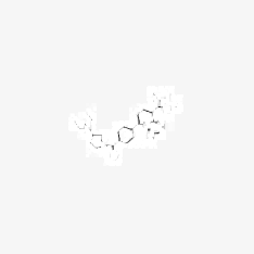 CCN(CC)C1CCN(C(=O)c2ccc(-c3ccc(C(N)=O)c4n[c]nn34)cc2)C1